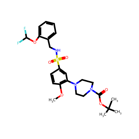 COc1ccc(S(=O)(=O)NCc2ccccc2OC(F)F)cc1N1CCN(C(=O)OC(C)(C)C)CC1